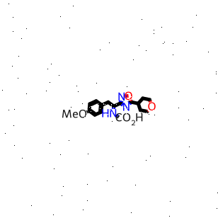 COc1ccc(CC(NC(=O)O)c2noc(C3CCOCC3)n2)cc1